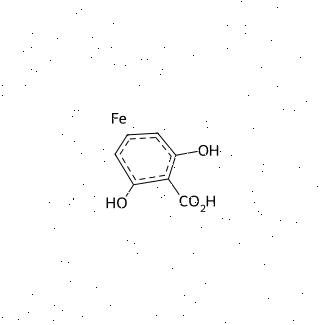 O=C(O)c1c(O)cccc1O.[Fe]